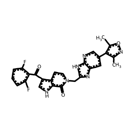 Cc1noc(C)c1-c1cnc2[nH]c(Cn3ccc4c(C(=O)c5c(F)cccc5F)c[nH]c4c3=O)nc2c1